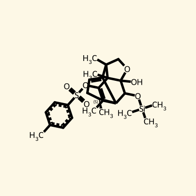 CC1=C(OS(=O)(=O)c2ccc(C)cc2)C2(C)C3(C)COC2(O)C(O[Si](C)(C)C)C12C3=CC[C@@H]2C